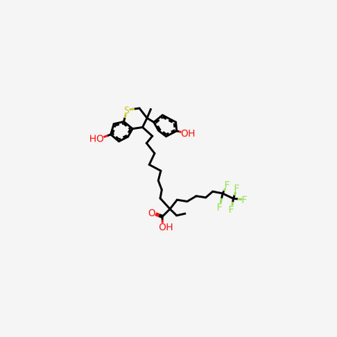 CCC(CCCCCCCCC1c2ccc(O)cc2SCC1(C)c1ccc(O)cc1)(CCCCCC(F)(F)C(F)(F)F)C(=O)O